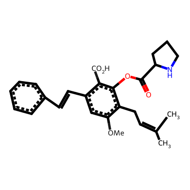 COc1cc(/C=C/c2ccccc2)c(C(=O)O)c(OC(=O)C2CCCN2)c1CC=C(C)C